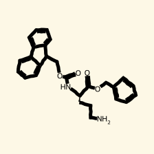 NCCC[C@H](NC(=O)OCC1c2ccccc2-c2ccccc21)C(=O)OCc1ccccc1